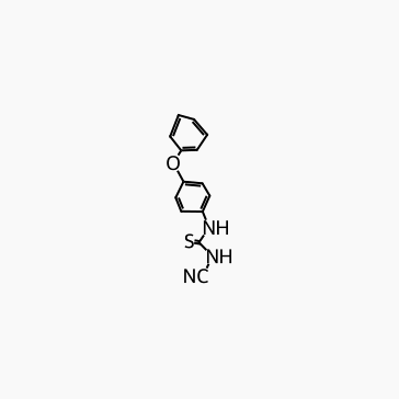 N#CNC(=S)Nc1ccc(Oc2ccccc2)cc1